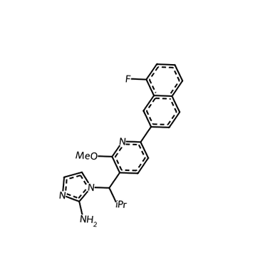 COc1nc(-c2ccc3cccc(F)c3c2)ccc1C(C(C)C)n1ccnc1N